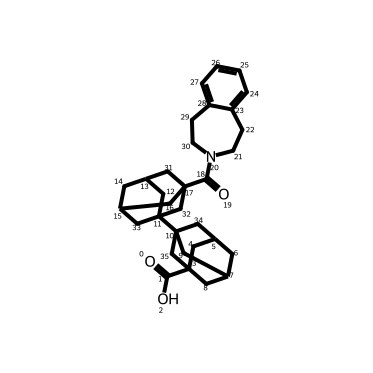 O=C(O)C12CC3CC(C1)CC(C14CC5CC(CC(C(=O)N6CCc7ccccc7CC6)(C5)C1)C4)(C3)C2